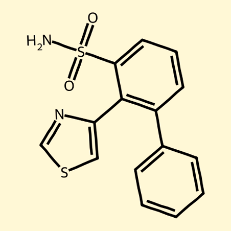 NS(=O)(=O)c1cccc(-c2ccccc2)c1-c1cscn1